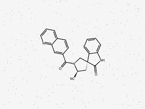 N#C[C@@H]1C[C@@]2(CN1C(=O)c1ccc3cccnc3c1)C(=O)Nc1ccccc12